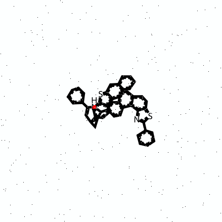 C1=C(c2ccccc2)NC(c2ccc3c(ccc4ccc5sc(-c6ccccc6)nc5c43)c2)C2CC12c1ccc2c(c1)sc1cc3ccccc3cc12